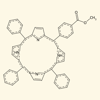 COC(=O)c1ccc(-c2c3nc(c(-c4ccccc4)c4ccc([nH]4)c(-c4ccccc4)c4nc(c(-c5ccccc5)c5ccc2[nH]5)C=C4)C=C3)cc1